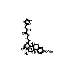 COc1ccc2c(c1)CC[C@@H]1[C@@H]2CC[C@]2(C)C(=O)CC(CCCC(=O)NCc3ccco3)[C@@H]12